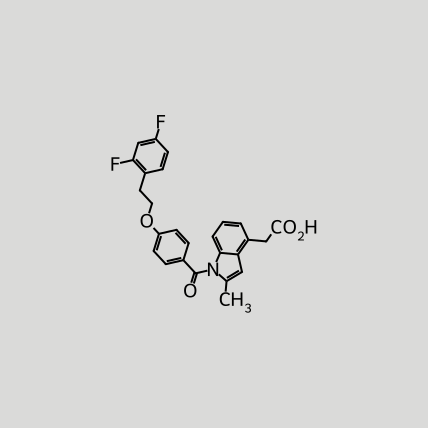 Cc1cc2c(CC(=O)O)cccc2n1C(=O)c1ccc(OCCc2ccc(F)cc2F)cc1